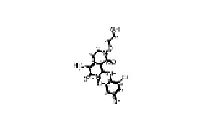 Cc1c2c(c(Nc3ccc(Br)cc3F)n(C)c1=O)C(=O)N(OCCO)CC2